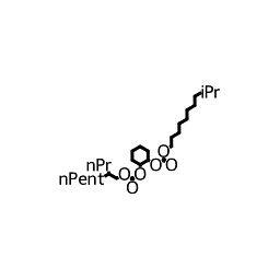 CCCCCC(CCC)COC(=O)OC1CCCCC1OC(=O)OCCCCCCCCC(C)C